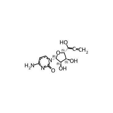 C=C=C(O)[C@H]1O[C@@H](n2ccc(N)nc2=O)[C@H](O)[C@@H]1O